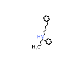 CCCC(NCCCCCc1ccccc1)c1ccccc1